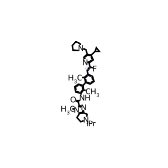 Cc1c(/C=C(\F)c2cc(C3CC3)c(CN3CCCCC3)cn2)cccc1-c1cccc(NC(=O)c2nc3c(n2C)CCN(C(C)C)C3)c1C